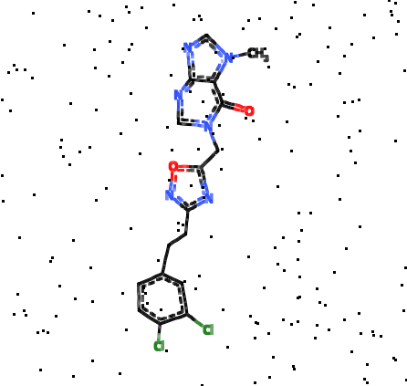 Cn1cnc2ncn(Cc3nc(CCc4ccc(Cl)c(Cl)c4)no3)c(=O)c21